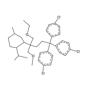 CCOCC(CCC(c1ccc(Cl)cc1)(c1ccc(Cl)cc1)c1ccc(Cl)cc1)(COC)C1CC(C)CCC1C(C)C